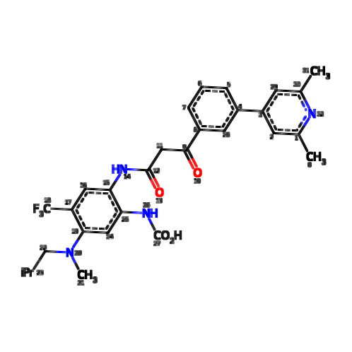 Cc1cc(-c2cccc(C(=O)CC(=O)Nc3cc(C(F)(F)F)c(N(C)CC(C)C)cc3NC(=O)O)c2)cc(C)n1